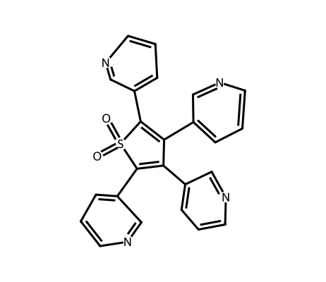 O=S1(=O)C(c2cccnc2)=C(c2cccnc2)C(c2cccnc2)=C1c1cccnc1